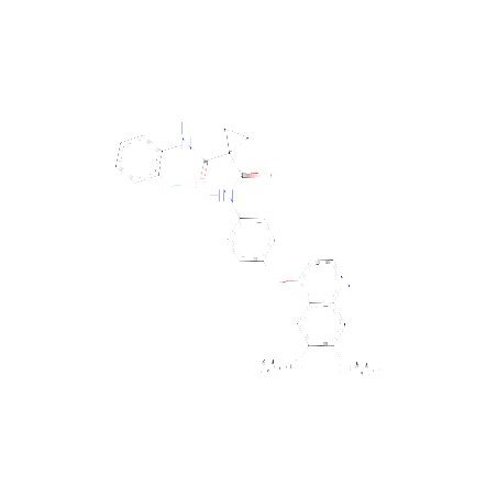 COc1cc2nccc(Oc3ccc(NC(=O)C4(C(=O)Nc5ccccc5F)CC4)cc3)c2cc1OC